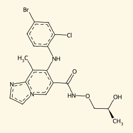 Cc1c(Nc2ccc(Br)cc2Cl)c(C(=O)NOC[C@H](C)O)cn2ccnc12